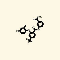 Cc1cc(F)ccc1Oc1cc(C(F)(F)F)ccc1C(=O)Nc1cccc(C(N)=O)c1